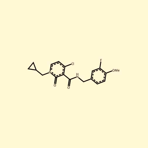 COc1ccc(CNC(=O)c2c(Cl)ccn(CC3CC3)c2=O)cc1F